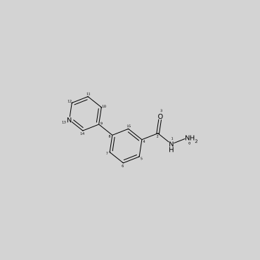 NNC(=O)c1cccc(-c2cccnc2)c1